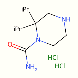 CC(C)C1(C(C)C)CNCCN1C(N)=O.Cl.Cl